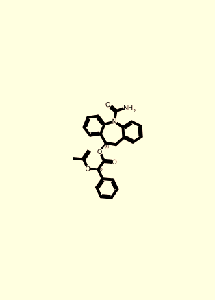 C=C(C)O[C@@H](C(=O)O[C@@H]1Cc2ccccc2N(C(N)=O)c2ccccc21)c1ccccc1